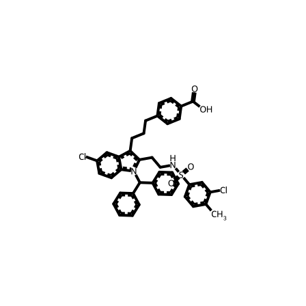 Cc1ccc(S(=O)(=O)NCCc2c(CCCc3ccc(C(=O)O)cc3)c3cc(Cl)ccc3n2C(c2ccccc2)c2ccccc2)cc1Cl